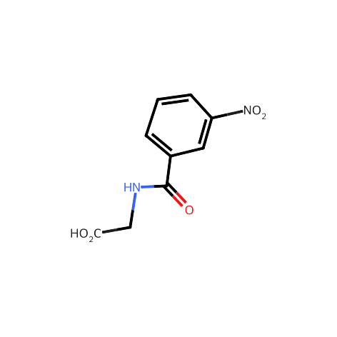 O=C(O)CNC(=O)c1cccc([N+](=O)[O-])c1